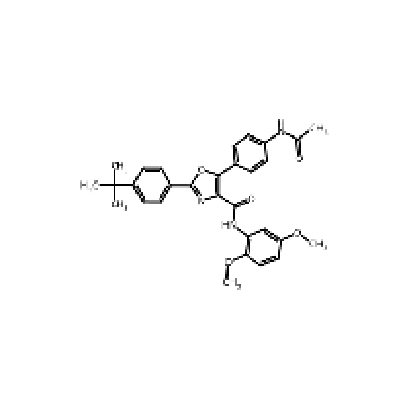 COc1ccc(OC)c(NC(=O)c2nc(-c3ccc(C(C)(C)C)cc3)oc2-c2ccc(NC(C)=O)cc2)c1